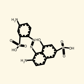 Nc1ccc(N=Nc2c(N)ccc3cc(S(=O)(=O)O)cc(O)c23)c(S(=O)(=O)O)c1